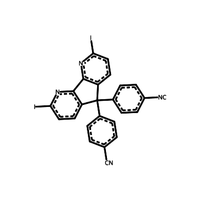 [C-]#[N+]c1ccc(C2(c3ccc(C#N)cc3)c3ccc(I)nc3-c3nc(I)ccc32)cc1